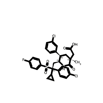 C[C@@]1(CC(=O)O)C[C@H](c2cccc(Cl)c2)[C@H](C[C@@](c2ccc(Cl)cc2)(C2CC2)S(=O)(=O)c2ccc(F)cc2)NC1=O